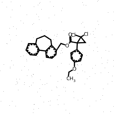 CCOc1ccc(C2(C(=O)OCc3cccc4c3CCCc3ccccc3-4)CC2(Cl)Cl)cc1